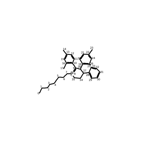 CCCCCCCC[P]1=C(c2ccc(C)cc2C)C(c2ccc(C)cc2C)C(c2ccccc2)CC1